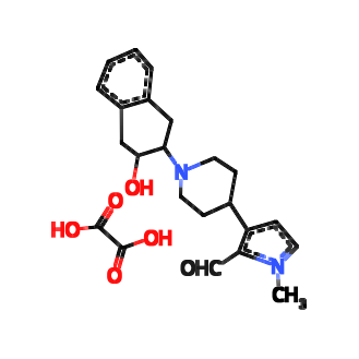 Cn1ccc(C2CCN(C3Cc4ccccc4CC3O)CC2)c1C=O.O=C(O)C(=O)O